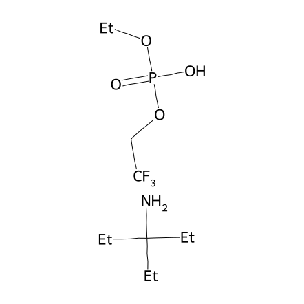 CCC(N)(CC)CC.CCOP(=O)(O)OCC(F)(F)F